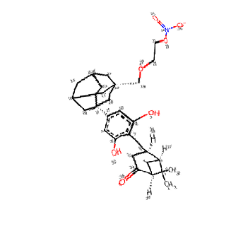 CC1(C)[C@@H]2C[C@H]1[C@H](c1c(O)cc([C@]34CC5CC(C[C@@](COCCO[N+](=O)[O-])(C5)C3)C4)cc1O)CC2=O